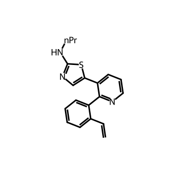 C=Cc1ccccc1-c1ncccc1-c1cnc(NCCC)s1